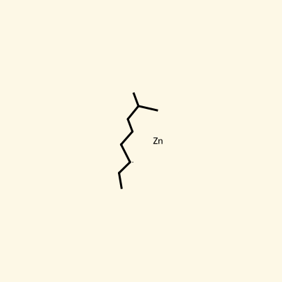 CC[CH]CCCC(C)C.[Zn]